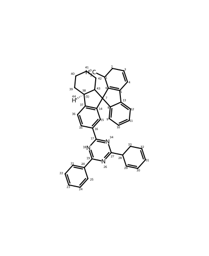 CC1CC=CC2=C1C1(c3ccccc32)c2cc(-c3nc(-c4ccccc4)nc(C4C=CC=CC4)n3)ccc2[C@H]2CCCCC21